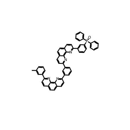 Cc1cccc(-c2ccc3ccc4ccc(-c5cccc(-c6ccc7ccc8ccc(-c9cccc(P(=O)(c%10ccccc%10)c%10ccccc%10)c9)nc8c7n6)c5)nc4c3n2)c1